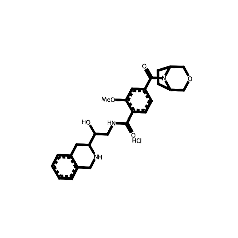 COc1cc(C(=O)N2C3CCC2COC3)ccc1C(=O)NCC(O)C1Cc2ccccc2CN1.Cl